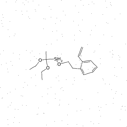 C=Cc1ccccc1CCO[SiH2]C(C)(OCC)OCC